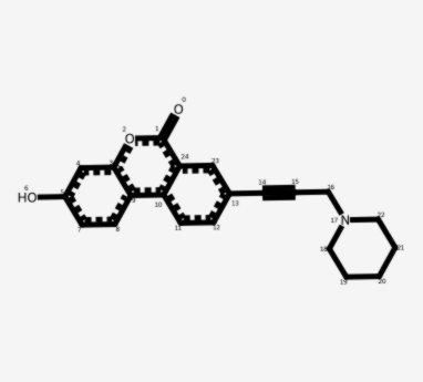 O=c1oc2cc(O)ccc2c2ccc(C#CCN3CCCCC3)cc12